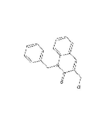 O=c1c(CCl)cc2ccccc2n1Cc1ccccc1